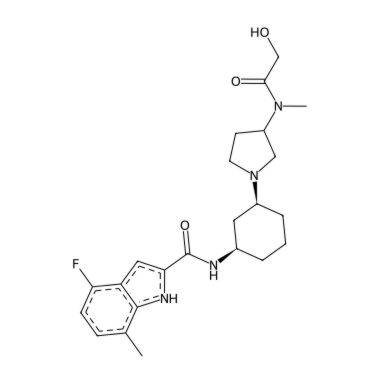 Cc1ccc(F)c2cc(C(=O)N[C@@H]3CCC[C@H](N4CCC(N(C)C(=O)CO)C4)C3)[nH]c12